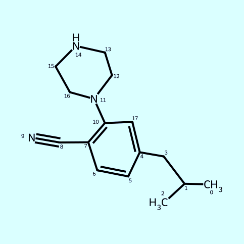 CC(C)Cc1ccc(C#N)c(N2CCNCC2)c1